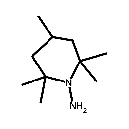 CC1CC(C)(C)N(N)C(C)(C)C1